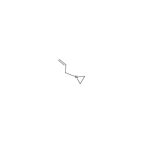 C=CCN1CC1